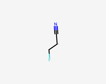 N#C[CH]CF